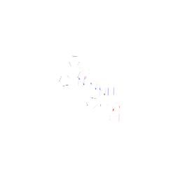 N=C1CCC(c2nc(-c3ccccc3)c(-c3ccccc3)o2)N1Cc1cccc(OCC(=O)O)c1